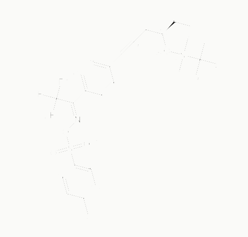 CC[C@H](CC#Cc1ccc(C(=NOS(=O)(=O)c2ccc(C)cc2)C(F)(F)F)cc1)O[Si](C)(C)C(C)(C)C